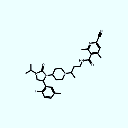 Cc1ccc(F)c(C2CN(C(C)C)C(=O)N2C2CCN(C(C)CCNC(=O)c3c(C)cc(C#N)nc3C)CC2)c1